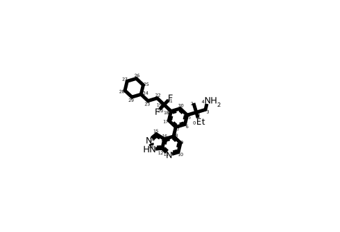 CCC(C)(CN)c1cc(-c2ccnc3[nH]ncc23)cc(C(F)(F)CCC2CCCCC2)c1